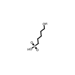 O=S(=O)(O)[CH]CCCCO